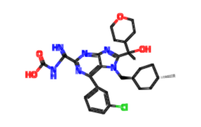 CC(O)(c1nc2nc(C(=N)NC(=O)O)nc(-c3cccc(Cl)c3)c2n1C[C@H]1CC[C@H](C)CC1)C1CCOCC1